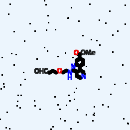 COC(=O)c1ccc2c(c1)nc(NCCOCCCC=O)c1ccncc12